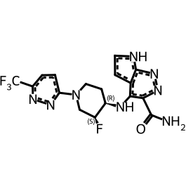 NC(=O)c1nnc2[nH]ccc2c1N[C@@H]1CCN(c2ccc(C(F)(F)F)nn2)C[C@@H]1F